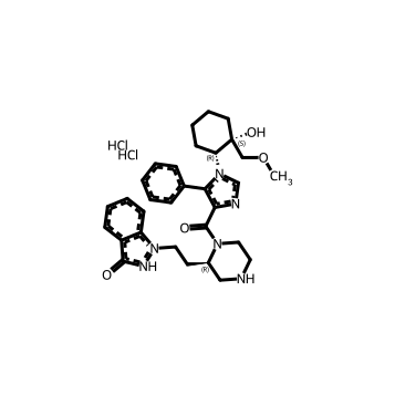 COC[C@]1(O)CCCC[C@H]1n1cnc(C(=O)N2CCNC[C@H]2CCn2[nH]c(=O)c3ccccc32)c1-c1ccccc1.Cl.Cl